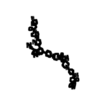 N#Cc1cnn2cc(-c3ccc(N4CCN(C(=O)CC5(O)CCN(c6ccc(NC7CCC(=O)NC7=O)cc6)CC5)CC4)cc3)cc(-c3ccc(N4CCN(C(=O)Cc5ccc(F)cn5)CC4)nc3)c12